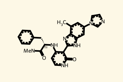 CNC(=O)[C@H](Cc1ccccc1)Nc1cc[nH]c(=O)c1-c1nc2c(C)cc(-n3ccnc3)cc2[nH]1